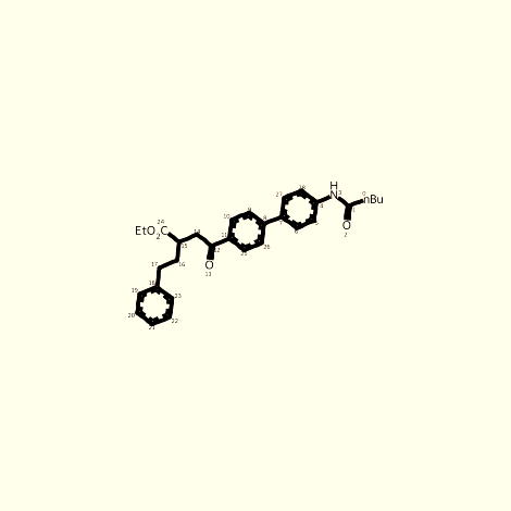 CCCCC(=O)Nc1ccc(-c2ccc(C(=O)CC(CCc3ccccc3)C(=O)OCC)cc2)cc1